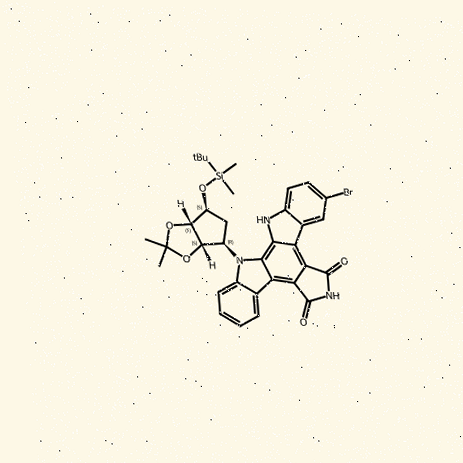 CC1(C)O[C@@H]2[C@H](O1)[C@@H](O[Si](C)(C)C(C)(C)C)C[C@H]2n1c2ccccc2c2c3c(c4c5cc(Br)ccc5[nH]c4c21)C(=O)NC3=O